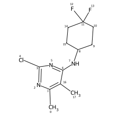 Cc1nc(Cl)nc(NC2CCC(F)(F)CC2)c1C